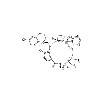 C[C@@H]1[C@@H](C)C/C=C/[C@@](O)(c2cncnc2)[C@@H]2CC[C@H]2CN2C[C@@]3(CCCc4cc(Cl)ccc43)COc3ccc(cc32)C(=O)NS1(=O)=O